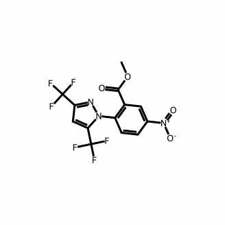 COC(=O)c1cc([N+](=O)[O-])ccc1-n1nc(C(F)(F)F)cc1C(F)(F)F